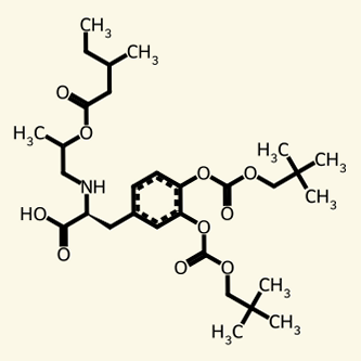 CCC(C)CC(=O)OC(C)CN[C@@H](Cc1ccc(OC(=O)OCC(C)(C)C)c(OC(=O)OCC(C)(C)C)c1)C(=O)O